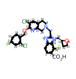 O=C(O)c1ccc2nc(CN3CCc4cc(Cl)c(OCc5ccc(F)cc5Cl)nc4C3)n(C[C@@H]3CCO3)c2c1F